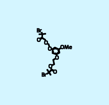 COc1cc(OCCOC(=O)C(C)(C)Br)cc(OCOCC(=O)C(C)(C)Br)c1